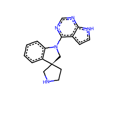 c1ccc2c(c1)N(c1ncnc3[nH]ccc13)C[C@]21CCNC1